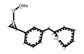 COON1C=C1c1cccc(Cc2ccccc2)c1